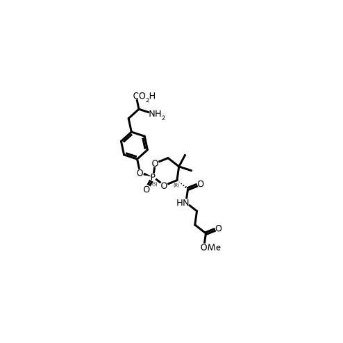 COC(=O)CCNC(=O)[C@@H]1O[P@@](=O)(Oc2ccc(CC(N)C(=O)O)cc2)OCC1(C)C